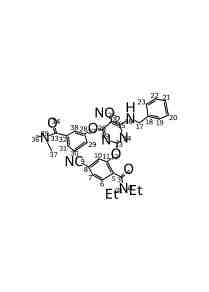 CCN(CC)C(=O)c1ccc(C#N)cc1Oc1nc(NCc2ccccc2)c([N+](=O)[O-])c(Oc2cccc(C(=O)N(C)C)c2)n1